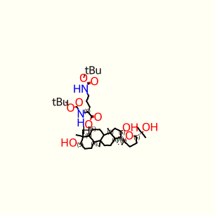 CC(C)(C)OC(=O)NCCC[C@H](NC(=O)OC(C)(C)C)C(=O)O[C@H]1CC2C3(CC[C@]4(C)[C@@H]([C@@]5(C)CC[C@@H](C(C)(C)O)O5)[C@@H](O)C[C@@]24C)C[C@@]32CC[C@H](O)C(C)(C)[C@H]12